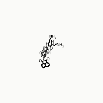 CC(C)C[C@H](N[C@H](CCN1C(=O)c2cccc3cccc(c23)C1=O)P(=O)(O)O)C(=O)NC(CCCCN)C(=O)NCCN